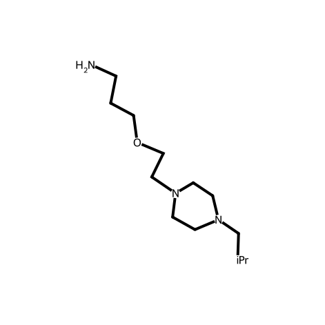 CC(C)CN1CCN(CCOCCCN)CC1